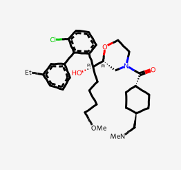 CCc1cccc(-c2c(Cl)cccc2[C@](O)(CCCCOC)[C@H]2CN(C(=O)[C@H]3CC[C@H](CNC)CC3)CCO2)c1